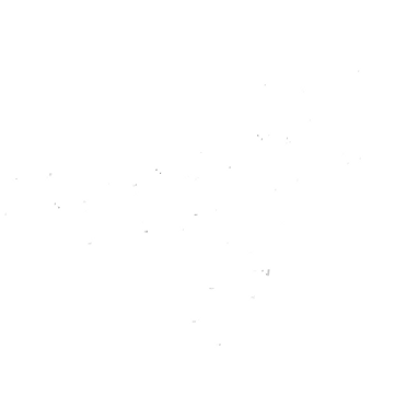 Cc1cccc(F)c1C(=O)N1CCCC(C(=O)Nc2cc(N3CCCC3)ccc2F)C1c1ccc(NC2CCCC2)cc1